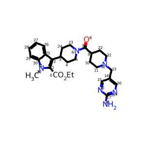 CCOC(=O)c1c(C2CCN(C(=O)C3CCN(Cc4cnc(N)nc4)CC3)CC2)c2ccccc2n1C